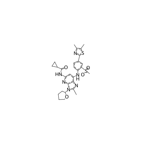 Cc1nc(-c2ccc(Nc3cc(NC(=O)C4CC4)nc4c3nc(C)n4C3CCCCO3)c(S(C)(=O)=O)c2)sc1C